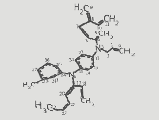 C=CCN(C(=C)/C=C\C(=C)C=C)c1ccc(N(/C(C=C)=C/C=C\C)c2cccc(C)c2)cc1